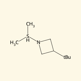 C[SH](C)N1CC(C(C)(C)C)C1